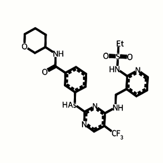 CCS(=O)(=O)Nc1ncccc1CNc1nc([AsH]c2cccc(C(=O)NC3CCCOC3)c2)ncc1C(F)(F)F